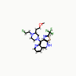 COCCC1CN(C2=c3ncccc3=CNc3sc(C(F)(F)F)nc32)CCN1CCF